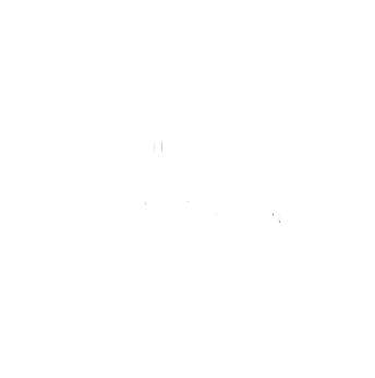 CC(C)(CC(O)(Cc1ccnc2ccccc12)C(F)(F)F)c1ccccc1